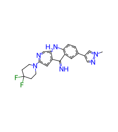 Cn1cc(-c2ccc(N)c(C(=N)c3ccnc(N4CCC(F)(F)CC4)c3)c2)cn1